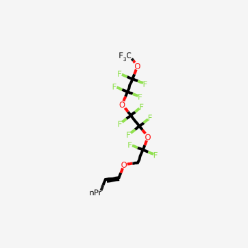 CCCC=COCC(F)(F)OC(F)(F)C(F)(F)OC(F)(F)C(F)(F)OC(F)(F)F